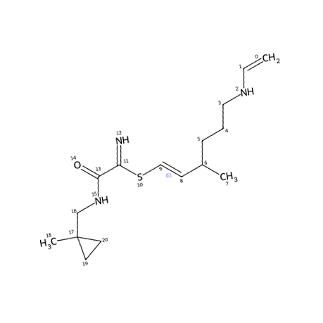 C=CNCCCC(C)/C=C/SC(=N)C(=O)NCC1(C)CC1